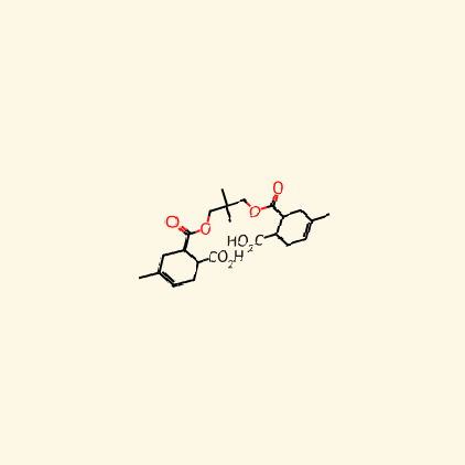 CC1=CCC(C(=O)O)C(C(=O)OCC(C)(C)COC(=O)C2CC(C)=CCC2C(=O)O)C1